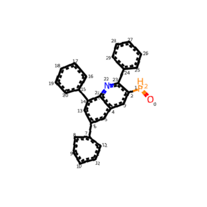 O=[PH2]c1cc2cc(-c3ccccc3)cc(-c3ccccc3)c2nc1-c1ccccc1